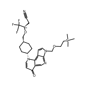 C[Si](C)(C)CCOCn1ccc2c1ncc1c(=O)ccn([C@H]3CC[C@H](CO[C@H](CC#N)C(F)(F)F)CC3)c12